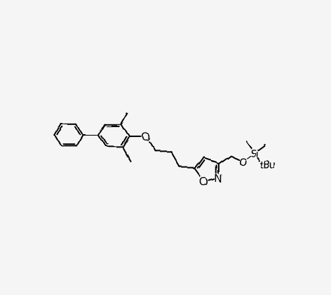 Cc1cc(-c2ccccc2)cc(C)c1OCCCc1cc(CO[Si](C)(C)C(C)(C)C)no1